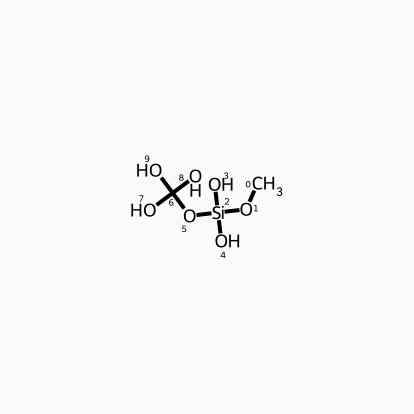 CO[Si](O)(O)OC(O)(O)O